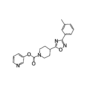 Cc1cccc(-c2noc(C3CCN(C(=O)Oc4cccnc4)CC3)n2)c1